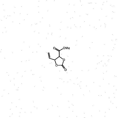 C=CC1OC(=O)OC1C(=O)OC